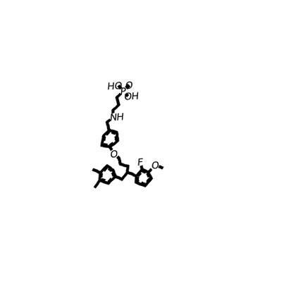 COc1cccc(C(CCCOc2ccc(CNCCCP(=O)(O)O)cc2)Cc2ccc(C)c(C)c2)c1F